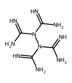 N=C(N)N(C(=N)N)N(C(=N)N)C(=N)N